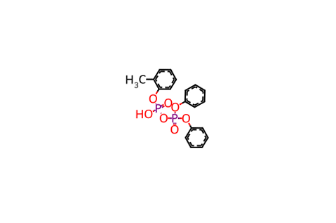 Cc1ccccc1OP(=O)(O)OP(=O)(Oc1ccccc1)Oc1ccccc1